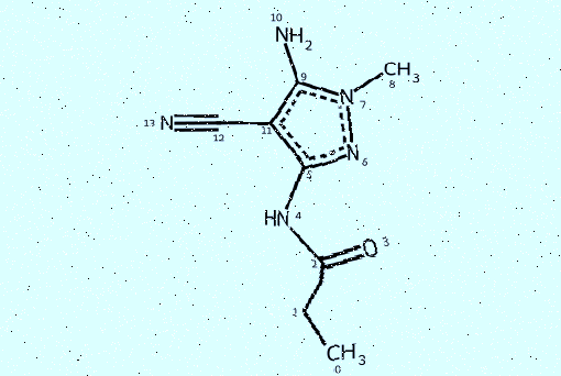 CCC(=O)Nc1nn(C)c(N)c1C#N